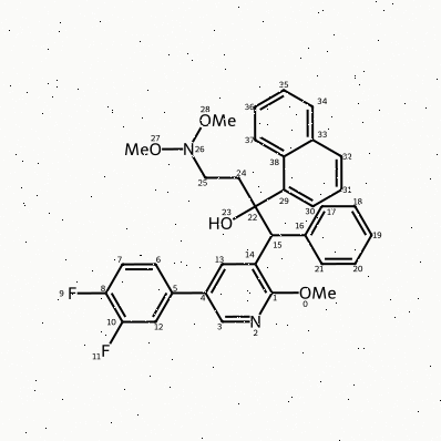 COc1ncc(-c2ccc(F)c(F)c2)cc1C(c1ccccc1)C(O)(CCN(OC)OC)c1cccc2ccccc12